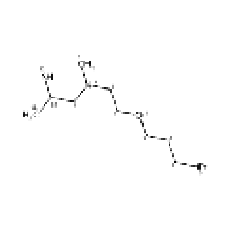 CC(C)CCCOCCN(C)CC(C)S